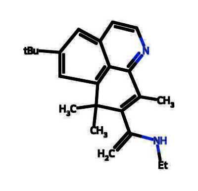 C=C(NCC)C1=C(C)c2nccc3cc(C(C)(C)C)cc(c23)C1(C)C